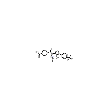 C/C=N/N(C(=S)N1CCC(C(=O)O)CC1)c1csc(-c2ccc(C(F)(F)F)cc2)c1O